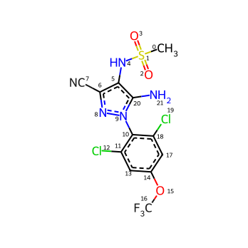 CS(=O)(=O)Nc1c(C#N)nn(-c2c(Cl)cc(OC(F)(F)F)cc2Cl)c1N